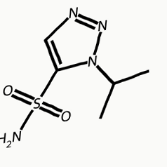 CC(C)n1nncc1S(N)(=O)=O